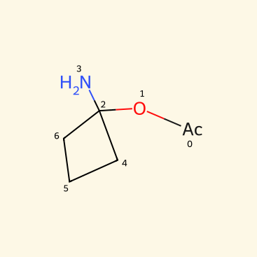 CC(=O)OC1(N)CCC1